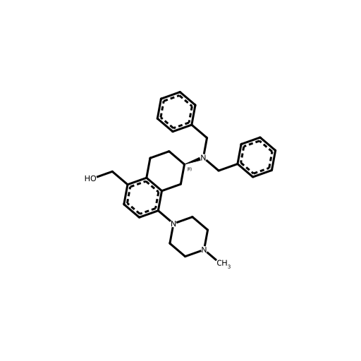 CN1CCN(c2ccc(CO)c3c2C[C@H](N(Cc2ccccc2)Cc2ccccc2)CC3)CC1